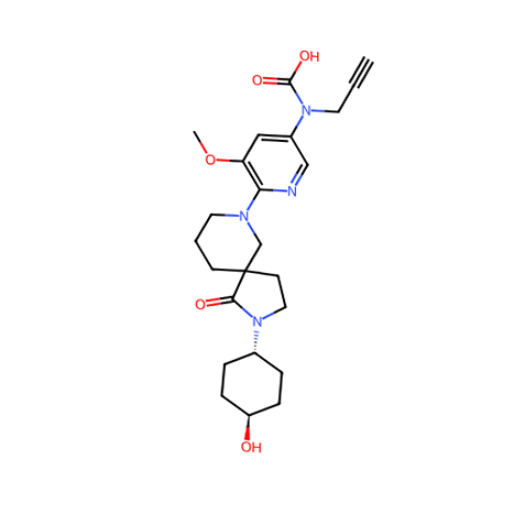 C#CCN(C(=O)O)c1cnc(N2CCCC3(CCN([C@H]4CC[C@H](O)CC4)C3=O)C2)c(OC)c1